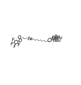 CCC[CH2][Sn]([CH2]CCC)([CH2]CCC)[c]1ccc(CCCCCCCCC[Te]CCCCC(=O)Oc2cc(F)c(F)c(F)c2F)cc1